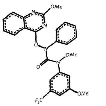 COc1cc(N(OC)C(=O)N(Oc2nc(OC)nc3ccccc23)c2ccccc2)cc(C(F)(F)F)c1